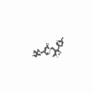 Cc1ccc(-c2noc(C)c2Cn2ncc(N3CC4(COC4)C3)cc2=O)cn1